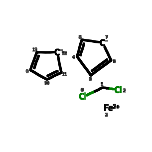 ClCCl.[Fe+2].c1cc[cH-]c1.c1cc[cH-]c1